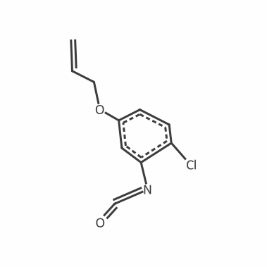 C=CCOc1ccc(Cl)c(N=C=O)c1